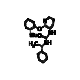 CC(NC(=O)Nc1cccnc1Oc1ccccc1C(C)(C)C)c1ccccc1